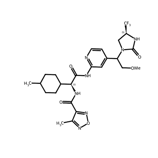 COCC(c1ccnc(NC(=O)[C@@H](NC(=O)c2nonc2C)C2CCC(C)CC2)c1)N1C[C@@H](C(F)(F)F)NC1=O